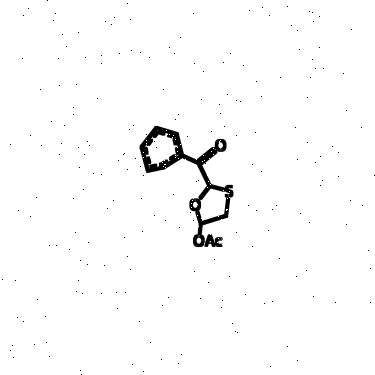 CC(=O)OC1CSC(C(=O)c2ccccc2)O1